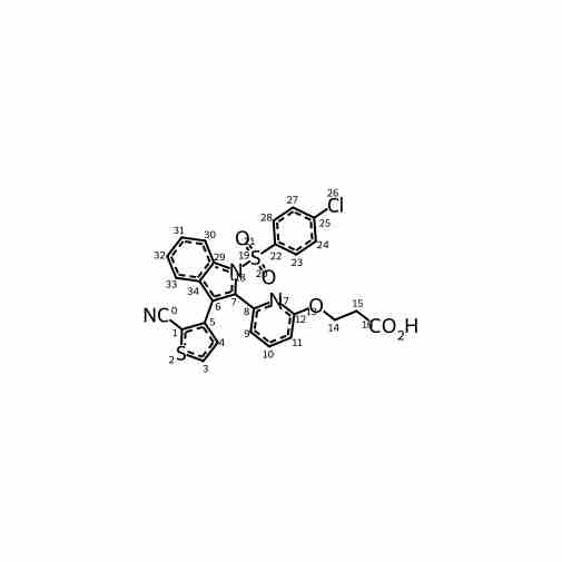 N#Cc1sccc1-c1c(-c2cccc(OCCC(=O)O)n2)n(S(=O)(=O)c2ccc(Cl)cc2)c2ccccc12